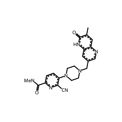 CNC(=O)c1ccc(N2CCN(Cc3cnc4cc(C)c(=O)[nH]c4c3)CC2)c(C#N)n1